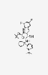 CC(C)(C)OC(=O)NC(Cc1cc(F)cc(F)c1)C(S)CNC1(c2cccc(C(C)(C)C)c2)CCCCC1